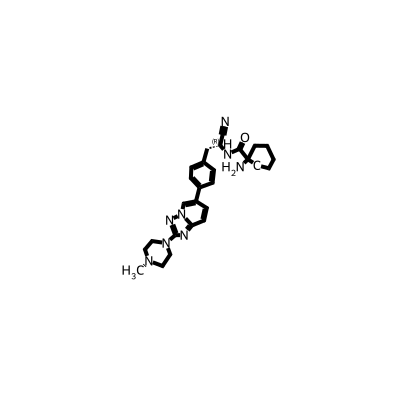 CN1CCN(c2nc3ccc(-c4ccc(C[C@H](C#N)NC(=O)C5(N)CCCCC5)cc4)cn3n2)CC1